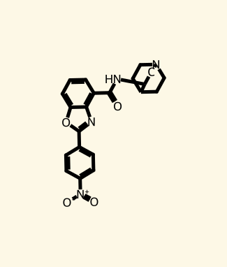 O=C(NC1CN2CCC1CC2)c1cccc2oc(-c3ccc([N+](=O)[O-])cc3)nc12